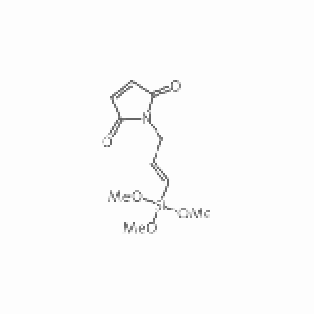 CO[Si](/C=C/CN1C(=O)C=CC1=O)(OC)OC